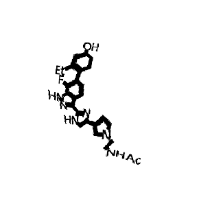 CCc1cc(O)ccc1-c1ccc2c(-c3nc(C4=CCN(CCNC(C)=O)C4)c[nH]3)n[nH]c2c1F